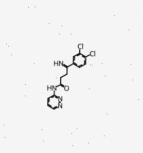 N=C(CCC(=O)Nc1cccnn1)c1ccc(Cl)c(Cl)c1